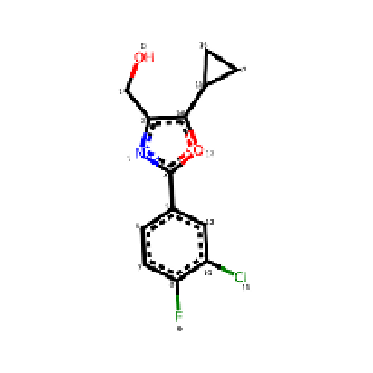 OCc1nc(-c2ccc(F)c(Cl)c2)oc1C1CC1